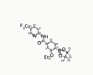 CCOc1cc(C(=O)Nc2ccc(C(F)(F)F)cn2)ccc1B1OC(C)(C)C(C)(C)O1